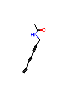 C#CC#CC#CCNC(C)=O